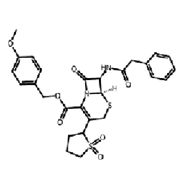 COc1ccc(COC(=O)C2=C(C3CCCS3(=O)=O)CS[C@@H]3[C@H](NC(=O)Cc4ccccc4)C(=O)N23)cc1